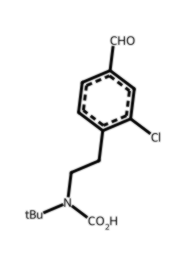 CC(C)(C)N(CCc1ccc(C=O)cc1Cl)C(=O)O